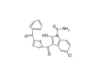 NC(=O)n1c(O)c(C(=O)c2ccc(C(=O)c3ccccc3)s2)c2cc(Cl)ccc21